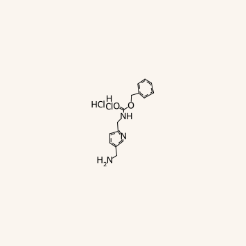 Cl.Cl.NCc1ccc(CNC(=O)OCc2ccccc2)nc1